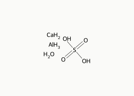 O.O=S(=O)(O)O.[AlH3].[CaH2]